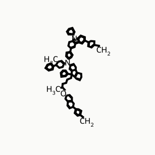 C=CC1=CC=C(c2ccc3c(c2)c2c(n3-c3ccccc3)CCC(c3ccc(N(C4=CCC5C(=C4)C(CCCCC(C)COC4C=CC6=C(C=CC(c7ccc(C=C)cc7)C6)C4)(c4ccccc4)C4=C5CCC=C4)C4=CC(C)C(c5ccccc5)CC4)cc3)=C2)CC1